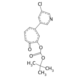 CC(C)(C)OC(=O)Oc1cc(-c2cncc(Cl)c2)cccc1=O